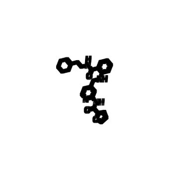 O=C(Nc1cc(CNc2ccccc2C(=O)NCCC2=CCCCC2)ccn1)c1ccco1